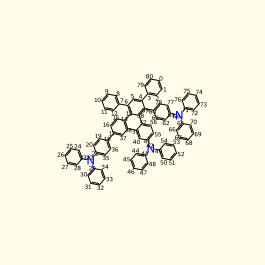 c1ccc(-c2cc(-c3ccccc3)c3c4ccc(-c5ccc(N(c6ccccc6)c6ccccc6)cc5)cc4c4cc(N(c5ccccc5)c5ccccc5)ccc4c3c2-c2ccc(N(c3ccccc3)c3ccccc3)cc2)cc1